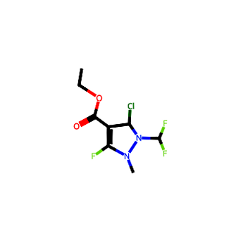 CCOC(=O)C1=C(F)N(C)N(C(F)F)C1Cl